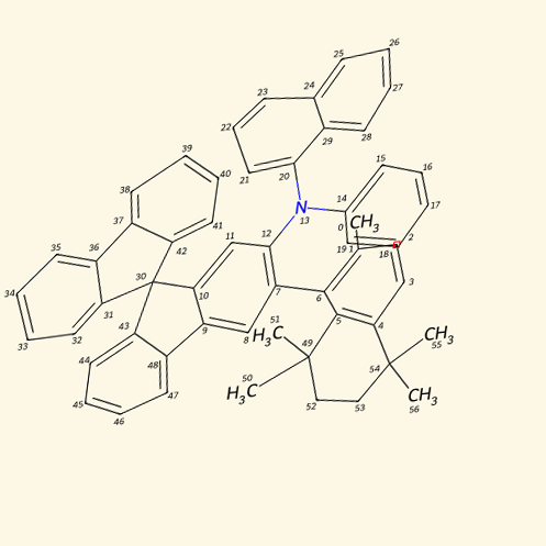 Cc1ccc2c(c1-c1cc3c(cc1N(c1ccccc1)c1cccc4ccccc14)C1(c4ccccc4-c4ccccc41)c1ccccc1-3)C(C)(C)CCC2(C)C